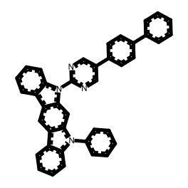 c1ccc(-c2ccc(-c3cnc(-n4c5ccccc5c5cc6c7ccccc7n(-c7ccccc7)c6cc54)nc3)cc2)cc1